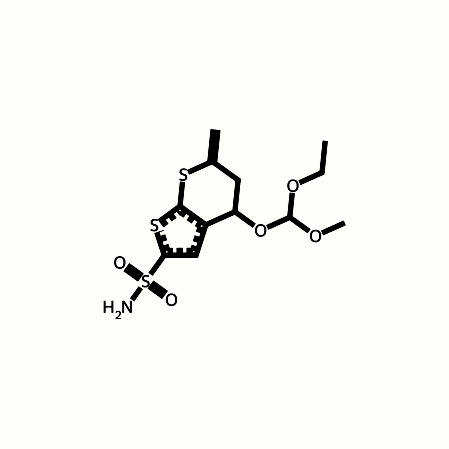 C=C1CC(OC(OC)OCC)c2cc(S(N)(=O)=O)sc2S1